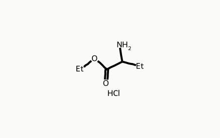 CCOC(=O)C(N)CC.Cl